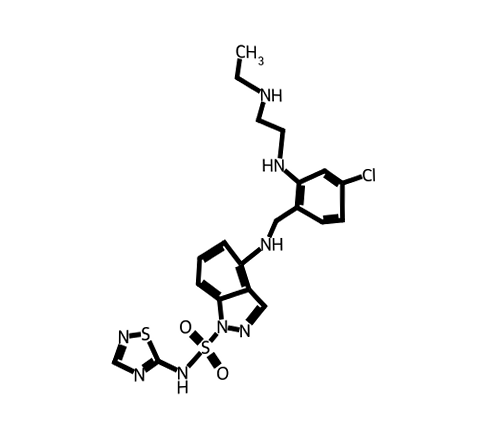 CCNCCNc1cc(Cl)ccc1CNc1cccc2c1cnn2S(=O)(=O)Nc1ncns1